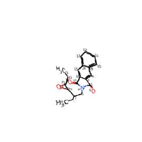 CCC(CN1C(=O)c2cc3ccccc3cc2C1=O)C1OC1CC